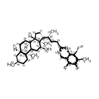 Cc1c(F)c(F)c2cnc(CC[C@@H](C)[C@H]3CC[C@H]4[C@@H]5CC[C@@H]6C[C@H](O)CC[C@]6(C)C5C[C@H](O)[C@]34C)nc2c1F